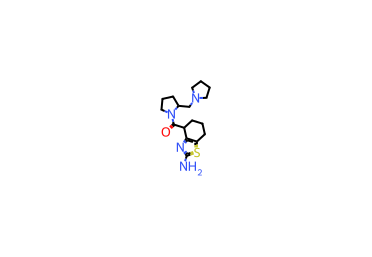 Nc1nc2c(s1)CCCC2C(=O)N1CCCC1CN1CCCC1